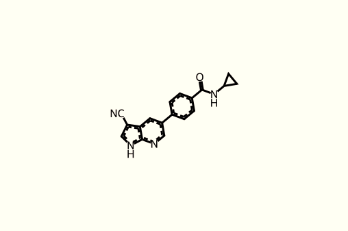 N#Cc1c[nH]c2ncc(-c3ccc(C(=O)NC4CC4)cc3)cc12